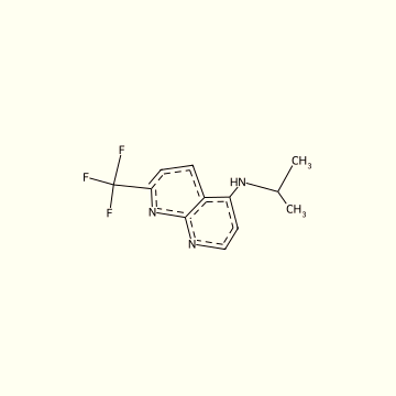 CC(C)Nc1ccnc2nc(C(F)(F)F)ccc12